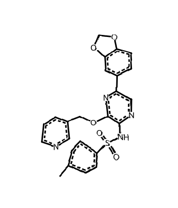 Cc1ccc(S(=O)(=O)Nc2ncc(-c3ccc4c(c3)OCO4)nc2OCc2cccnc2)cc1